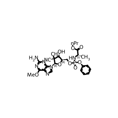 CCCOC(=O)[C@H](C)NP(=O)(OC[C@H]1O[C@@H](n2cnc3c(OC)nc(N)nc32)[C@](C)(C#N)[C@@H]1O)Oc1ccccc1